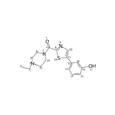 CCN1CCN(C(=O)c2ncc(-c3cccc(O)c3)s2)CC1